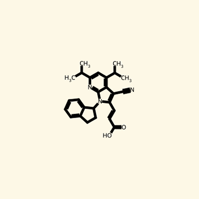 CC(C)c1cc(C(C)C)c2c(C#N)c(/C=C/C(=O)O)n(C3CCc4ccccc43)c2n1